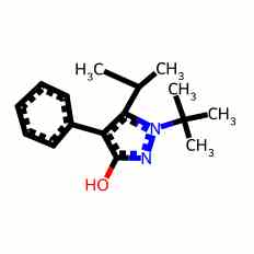 CC(C)c1c(-c2ccccc2)c(O)nn1C(C)(C)C